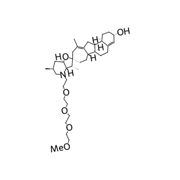 COCCOCCOCCOCCN1C[C@@H](C)C[C@H]2O[C@]3(CC[C@@H]4C(=C(C)C3)C[C@H]3[C@H]4CCC4=C[C@@H](O)CC[C@@]43C)[C@H](C)[C@@H]21